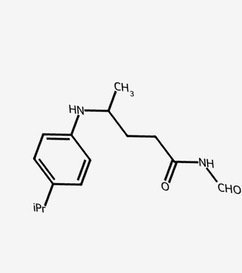 CC(CCC(=O)NC=O)Nc1ccc(C(C)C)cc1